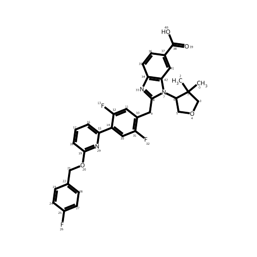 CC1(C)COCC1n1c(Cc2cc(F)c(-c3cccc(OCc4ccc(F)cc4)n3)cc2F)nc2ccc(C(=O)O)cc21